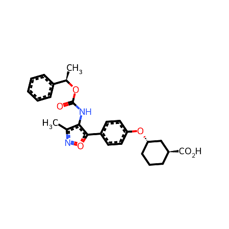 Cc1noc(-c2ccc(O[C@H]3CCC[C@H](C(=O)O)C3)cc2)c1NC(=O)O[C@H](C)c1ccccc1